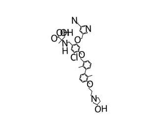 Cc1c(COc2cc(OCc3cncc(C#N)c3)c(CNC(C)(CO)C(=O)O)cc2Cl)cccc1-c1cccc(OCCCN2CCC(O)C2)c1C